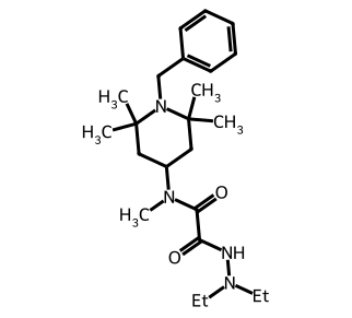 CCN(CC)NC(=O)C(=O)N(C)C1CC(C)(C)N(Cc2ccccc2)C(C)(C)C1